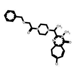 CC(c1nc2c(c(=O)n1C)C=CC(Cl)=CC2)N1CCN(C(=O)COCc2ccccc2)CC1